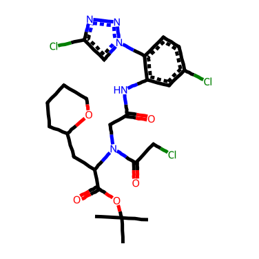 CC(C)(C)OC(=O)C(CC1CCCCO1)N(CC(=O)Nc1cc(Cl)ccc1-n1cc(Cl)nn1)C(=O)CCl